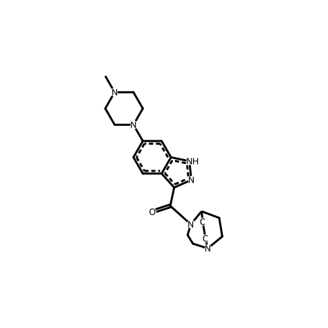 CN1CCN(c2ccc3c(C(=O)N4CCN5CCC4CC5)n[nH]c3c2)CC1